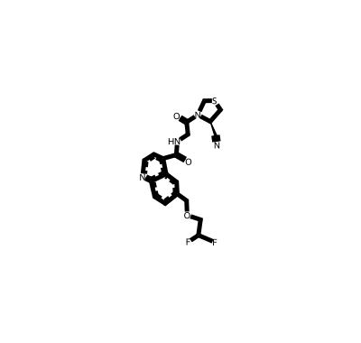 N#C[C@@H]1CSCN1C(=O)CNC(=O)c1ccnc2ccc(COCC(F)F)cc12